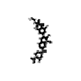 CC(C)n1c(=O)c(-c2cc(F)c(NS(=O)(=O)CCC(F)(F)F)c(F)c2)cc2cnc(N[C@@H]3CC[C@@H](N(C)C)[C@H](F)C3)nc21